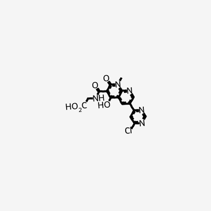 Cn1c(=O)c(C(=O)NCC(=O)O)c(O)c2cc(-c3cc(Cl)ncn3)cnc21